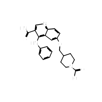 CCC(=O)N1CCC(COc2ccc3ncc(C(N)=O)c(Nc4ccccc4)c3c2)CC1